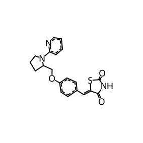 O=C1NC(=O)/C(=C/c2ccc(OCC3CCCN3c3ccccn3)cc2)S1